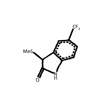 CSC1C(=O)Nc2ccc(C(F)(F)F)cc21